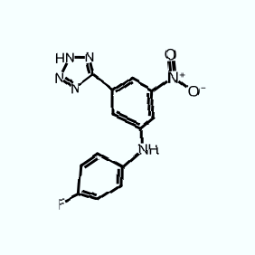 O=[N+]([O-])c1cc(Nc2ccc(F)cc2)cc(-c2nn[nH]n2)c1